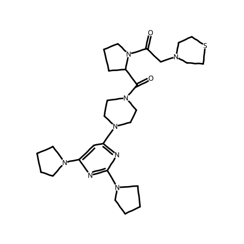 O=C(C1CCCN1C(=O)CN1CCSCC1)N1CCN(c2cc(N3CCCC3)nc(N3CCCC3)n2)CC1